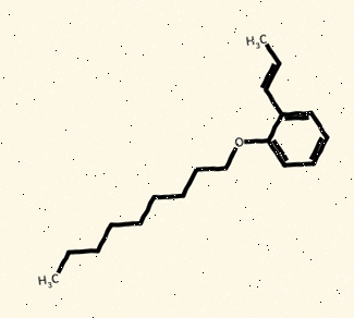 CC=Cc1ccccc1OCCCCCCCCC